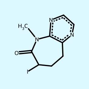 CN1C(=O)C(I)CCc2nccnc21